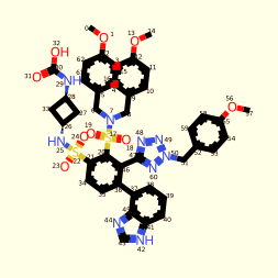 COc1ccc(CN(Cc2ccc(OC)cc2)S(=O)(=O)c2c(S(=O)(=O)N[C@H]3C[C@H](NC(=O)O)C3)ccc(-c3cccc4[nH]cnc34)c2-c2nnn(Cc3ccc(OC)cc3)n2)cc1